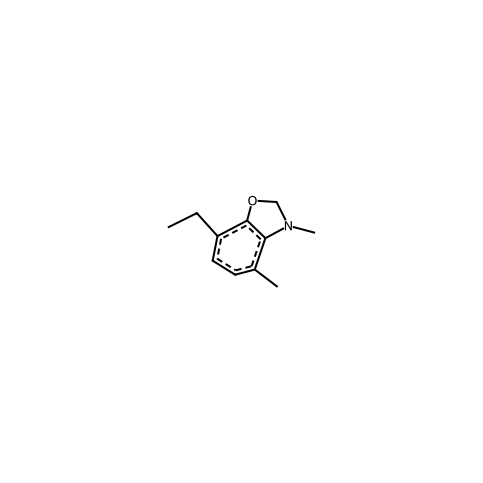 CCc1ccc(C)c2c1OCN2C